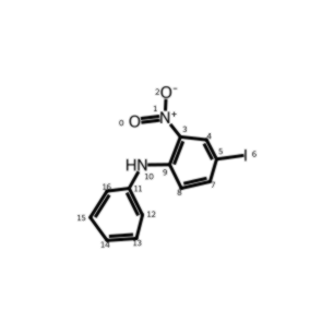 O=[N+]([O-])c1cc(I)ccc1Nc1ccccc1